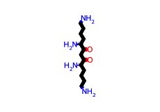 NCCCC[C@H](N)C(=O)CC(=O)[C@@H](N)CCCCN